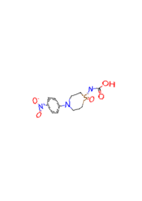 O=C(O)N=S1(=O)CCN(c2ccc([N+](=O)[O-])cc2)CC1